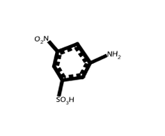 Nc1[c]c(S(=O)(=O)O)cc([N+](=O)[O-])c1